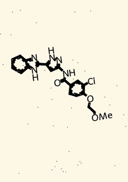 COCCOc1ccc(C(=O)Nc2cc(-c3nc4ccccc4[nH]3)[nH]n2)cc1Cl